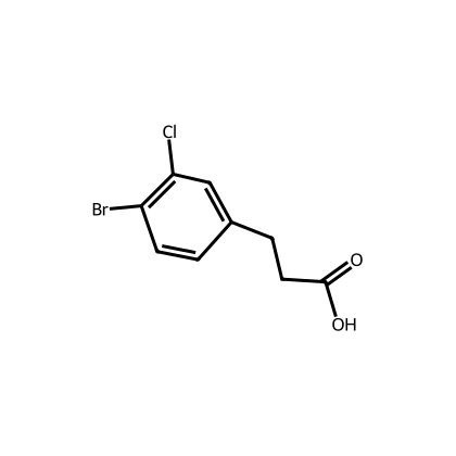 O=C(O)CCc1ccc(Br)c(Cl)c1